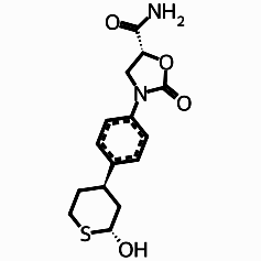 NC(=O)[C@H]1CN(c2ccc([C@@H]3CCS[C@@H](O)C3)cc2)C(=O)O1